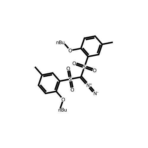 CCCCOc1ccc(C)cc1S(=O)(=O)C(=[N+]=[N-])S(=O)(=O)c1cc(C)ccc1OCCCC